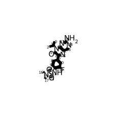 CC(C)n1c(=O)c(-c2ccc(NS(=O)(=O)N(C)C)c(F)c2)nc2cnc(N)nc21